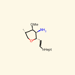 CCCCCCC/C=C/[C@@H]1OC[C@H](C)[C@@H](OC)[C@H]1N